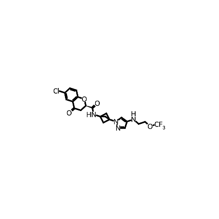 O=C1C[C@H](C(=O)NC23CC(n4cc(NCCOC(F)(F)F)cn4)(C2)C3)Oc2ccc(Cl)cc21